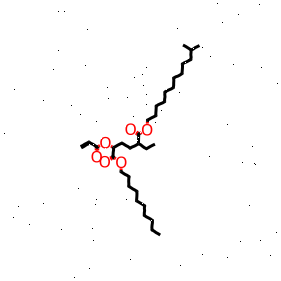 C=CC(=O)OC(CCC(CC)C(=O)OCCCCCCCCCCC(C)C)C(=O)OCCCCCCCCCC